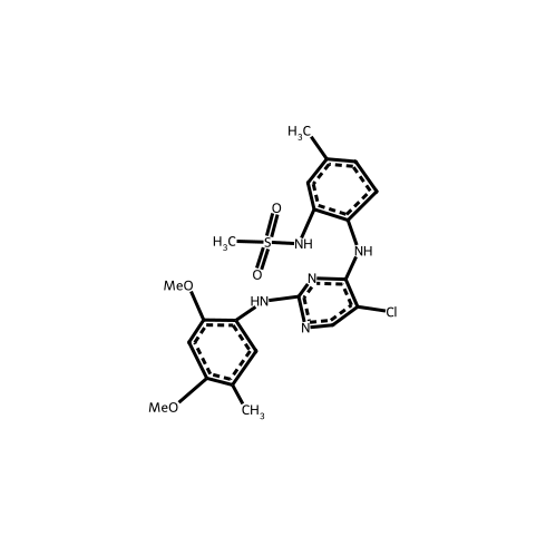 COc1cc(OC)c(Nc2ncc(Cl)c(Nc3ccc(C)cc3NS(C)(=O)=O)n2)cc1C